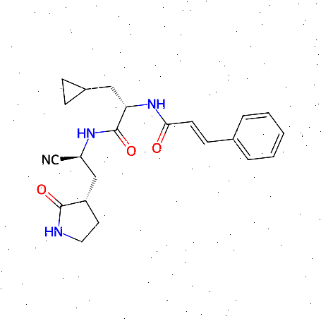 N#C[C@H](C[C@@H]1CCNC1=O)NC(=O)[C@H](CC1CC1)NC(=O)/C=C/c1ccccc1